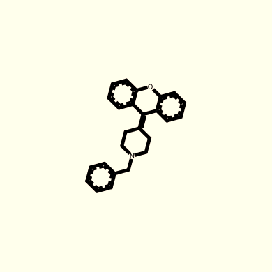 c1ccc(CN2CCC(=C3c4ccccc4Oc4ccccc43)CC2)cc1